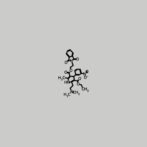 CCOC(=O)C1=C(CCN(C)C)NC(C)=C(C(=O)OCCN2C(=O)c3ccccc3C2=O)C1c1cccc([N+](=O)[O-])c1